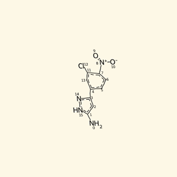 Nc1cc(-c2ccc([N+](=O)[O-])c(Cl)c2)n[nH]1